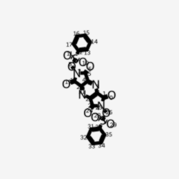 O=c1c2nc3c(=O)n(OS(=O)(=O)c4ccccc4)c(=O)c3nc2c(=O)n1OS(=O)(=O)c1ccccc1